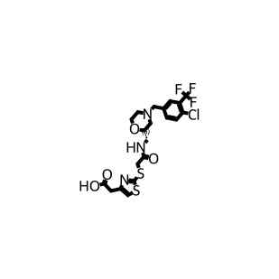 O=C(O)Cc1csc(SCC(=O)NC[C@H]2CN(Cc3ccc(Cl)c(C(F)(F)F)c3)CCO2)n1